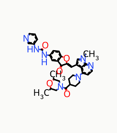 CC1CN(C(=O)C2CCN(c3ccnc4c3c(C=C3Oc5ccc(NC(=O)Nc6cccnc6)cc5C3=O)cn4C)CC2)CC(C)O1